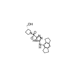 O=S(=O)(c1nnc(Nc2c3c(cc4c2CCC4)CCC3)[nH]1)N1CC[C@H](CO)C1